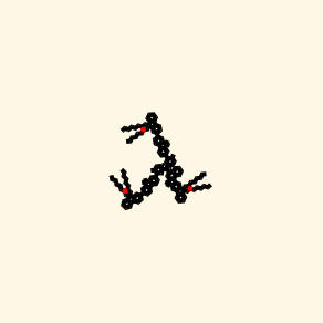 CCCCCCCCC1(CCCCCCCC)c2ccccc2-c2ccc(-c3ccc4c(c3)C(C)(C)c3cc(-c5cc(N(c6ccc(C)c(-c7ccc8c(c7)C(C)(C)c7cc(-c9ccc%10c(c9)C(CCCCCCCC)(CCCCCCCC)c9ccccc9-%10)ccc7-8)c6)c6cc7c(c8ccccc68)-c6cc8c(cc6C7(C)C)-c6ccccc6C8(CCCCCCCC)CCCCCCCC)ccc5C)ccc3-4)cc21